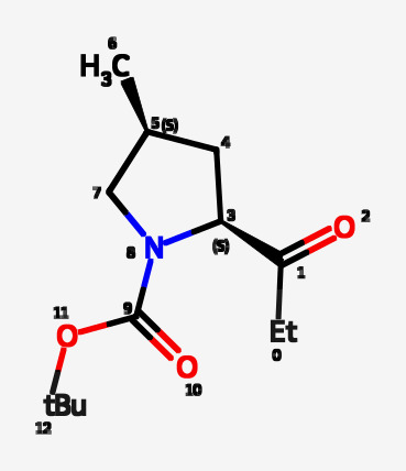 CCC(=O)[C@@H]1C[C@H](C)CN1C(=O)OC(C)(C)C